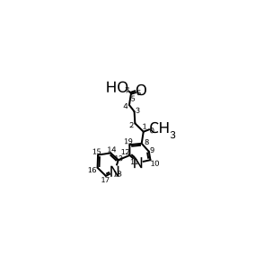 CC(CCCC(=O)O)c1ccnc(-c2ccccn2)c1